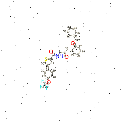 O=C(CNC(=O)c1cc(-c2ccc(OC(F)(F)F)cc2)cs1)Cc1ccccc1OCc1ccccc1